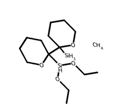 C.CCO[SiH](OCC)C1(C2([SiH3])CCCCO2)CCCCO1